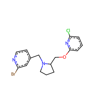 Clc1cccc(OCC2CCCN2Cc2ccnc(Br)c2)n1